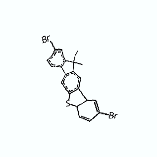 CC1(C)c2cc(Br)ccc2-c2cc3c(cc21)C1C=C(Br)C=CC1S3